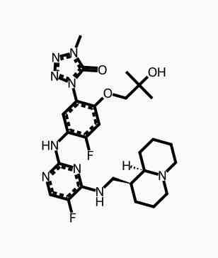 Cn1nnn(-c2cc(Nc3ncc(F)c(NC[C@@H]4CCCN5CCCC[C@H]45)n3)c(F)cc2OCC(C)(C)O)c1=O